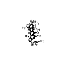 CCCN(C)C1CCN(C)c2c1cc(O)c1c2C[C@@H]2C[C@H]3[C@@H](C(=O)C(C(N)=O)=C(O)[C@@H]3N(C)C)C(O)=C2C1=O